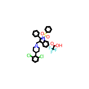 O=C(O)C(F)(F)F.O=S(=O)(c1ccccc1)n1c(-c2ccccc2)c(CN2CCC(c3c(Cl)cccc3Cl)CC2)c2ccccc21